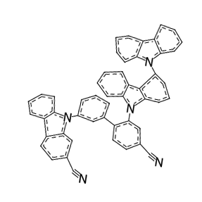 N#Cc1ccc(-c2cccc(-n3c4ccccc4c4ccc(C#N)cc43)c2)c(-n2c3ccccc3c3c(-n4c5ccccc5c5ccccc54)cccc32)c1